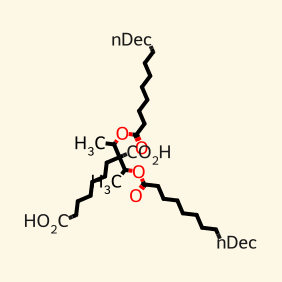 CCCCCCCCCCCCCCCCCC(=O)OC(C)C(CCCCCCC(=O)O)(C(=O)O)C(C)OC(=O)CCCCCCCCCCCCCCCCC